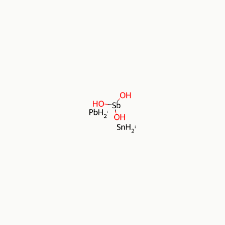 [OH][Sb]([OH])[OH].[PbH2].[SnH2]